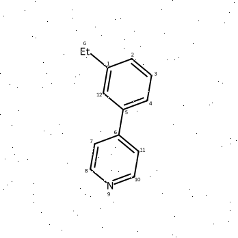 [CH2]Cc1cccc(-c2ccncc2)c1